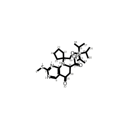 CSc1ncc2c(n1)N(C1(CO[Si](C(C)C)(C(C)C)C(C)C)CCCC1)C(C(=O)O)CC2=O